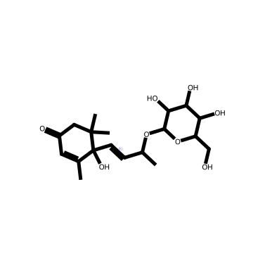 CC1=CC(=O)CC(C)(C)C1(O)/C=C/C(C)OC1OC(CO)C(O)C(O)C1O